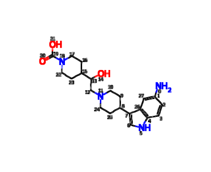 Nc1ccc2[nH]cc(C3CCN(CC(O)C4CCN(C(=O)O)CC4)CC3)c2c1